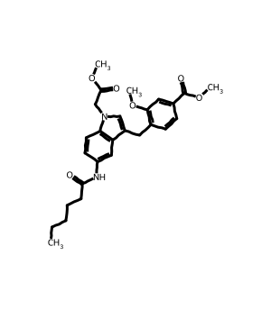 CCCCCC(=O)Nc1ccc2c(c1)c(Cc1ccc(C(=O)OC)cc1OC)cn2CC(=O)OC